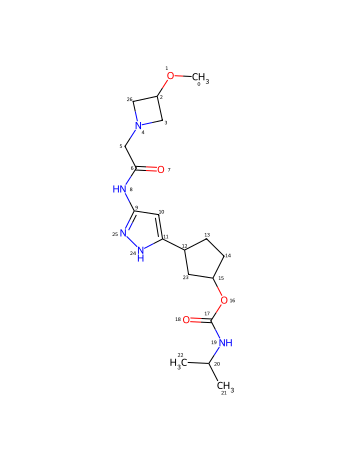 COC1CN(CC(=O)Nc2cc(C3CCC(OC(=O)NC(C)C)C3)[nH]n2)C1